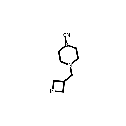 N#CB1CCN(CC2CNC2)CC1